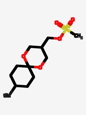 CC(C)(C)C1CCC2(CC1)OCC(COS(C)(=O)=O)CO2